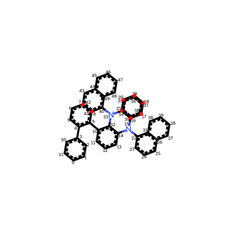 c1ccc(-c2ccccc2-c2cccc(N(c3ccccc3)c3cccc4ccccc34)c2N(c2ccccc2)c2cccc3ccccc23)cc1